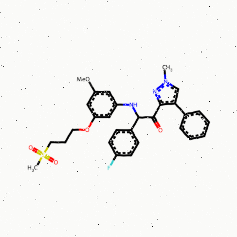 COc1cc(NC(C(=O)c2nn(C)cc2-c2ccccc2)c2ccc(F)cc2)cc(OCCCS(C)(=O)=O)c1